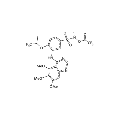 COc1cc2ncnc(Nc3cc(S(=O)(=O)N(C)OC(=O)C(F)(F)F)ccc3OC(C)C(F)(F)F)c2c(OC)c1OC